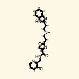 O=C(NCc1ncccc1Cl)c1coc(CCNCCc2nc3ccccc3[nH]2)n1